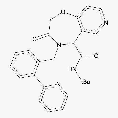 CC(C)(C)NC(=O)C1c2cnccc2OCC(=O)N1Cc1ccccc1-c1ccccn1